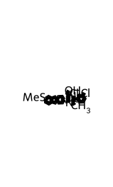 CSc1ccc2c(c1)CC1(CCN(c3nc(C)c(-c4cccc(Cl)c4Cl)nc3CO)CC1)C2